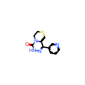 O=C1NN=C(c2cccnc2)C2=CSCCN12